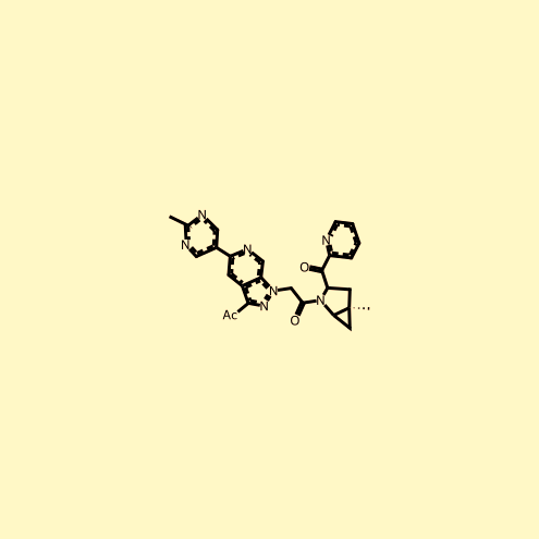 CC(=O)c1nn(CC(=O)N2C(C(=O)c3ccccn3)C[C@@]3(C)CC23)c2cnc(-c3cnc(C)nc3)cc12